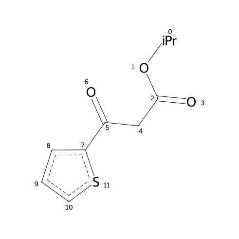 CC(C)OC(=O)CC(=O)c1cccs1